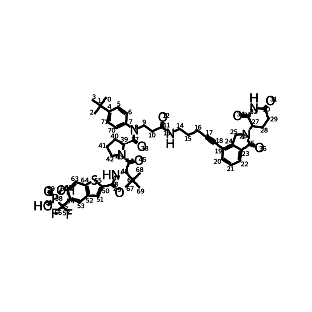 CC(C)(C)c1ccc(N(CCC(=O)NCCCC#Cc2cccc3c2CN(C2CCC(=O)NC2=O)C3=O)C(=O)[C@@H]2CCCN2C(=O)[C@@H](NC(=O)c2cc3cc(C(F)(F)P(=O)(O)O)ccc3s2)C(C)(C)C)cc1